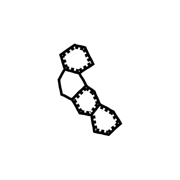 c1ccc2c(c1)CCc1cc3ccccc3cc1-2